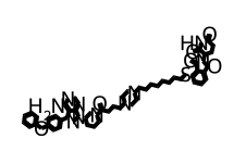 Nc1ncnc2c1c(-c1ccc(Oc3ccccc3)cc1)nn2C1CCCN(C(=O)CCCN2CCN(CCCCCCCCSc3cccc4c3C(=O)N(C3CCC(=O)NC3=O)C4=O)CC2)C1